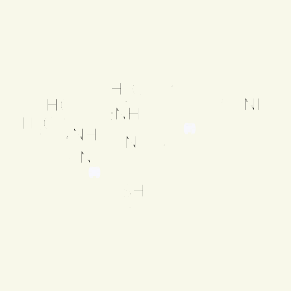 C#CNN(C/C(C=C)=C/C=N)/C(S)=N\NC